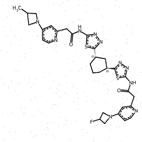 CC1CN(c2ccnc(CC(=O)Nc3nnc([C@H]4CCC[C@H](c5nnc(NC(=O)Cc6cc(N7CC(F)C7)ccn6)s5)C4)s3)c2)C1